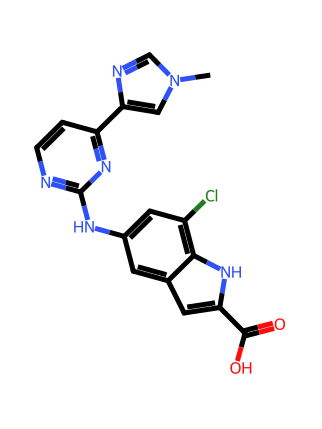 Cn1cnc(-c2ccnc(Nc3cc(Cl)c4[nH]c(C(=O)O)cc4c3)n2)c1